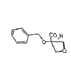 O=C(O)C1(OCc2ccccc2)COC1